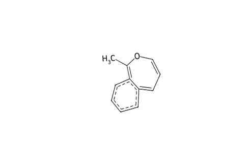 CC1=c2ccccc2=CC=CO1